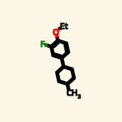 CCOc1ccc(C2CCC(C)CC2)cc1F